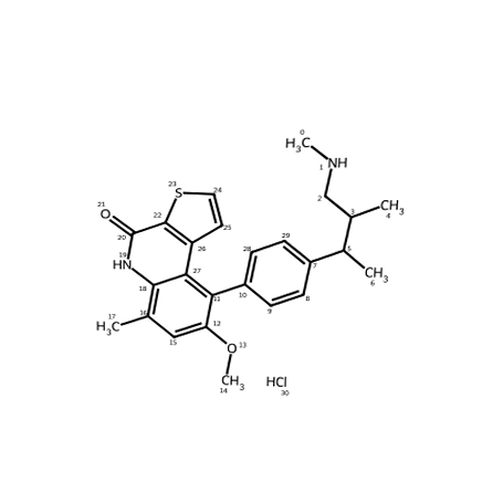 CNCC(C)C(C)c1ccc(-c2c(OC)cc(C)c3[nH]c(=O)c4sccc4c23)cc1.Cl